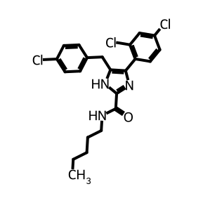 CCCCCNC(=O)c1nc(-c2ccc(Cl)cc2Cl)c(Cc2ccc(Cl)cc2)[nH]1